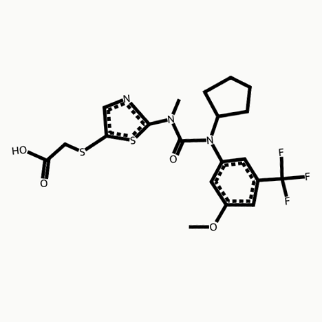 COc1cc(N(C(=O)N(C)c2ncc(SCC(=O)O)s2)C2CCCC2)cc(C(F)(F)F)c1